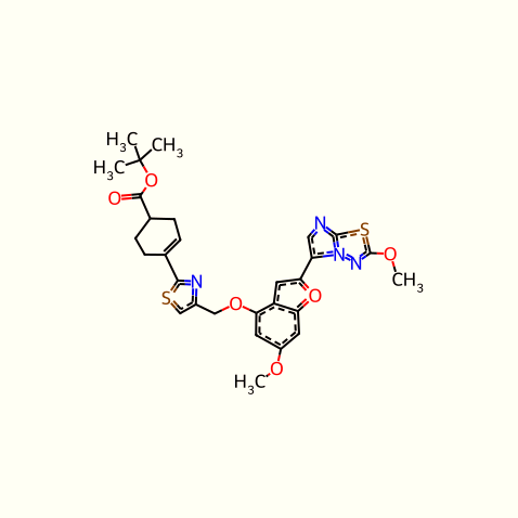 COc1cc(OCc2csc(C3=CCC(C(=O)OC(C)(C)C)CC3)n2)c2cc(-c3cnc4sc(OC)nn34)oc2c1